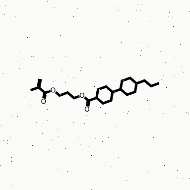 C=C(C)C(=O)OCCCOC(=O)C1CCC(C2CCC(CCC)CC2)CC1